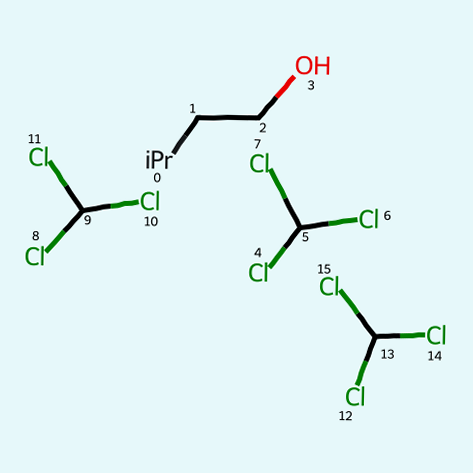 CC(C)CCO.ClC(Cl)Cl.ClC(Cl)Cl.ClC(Cl)Cl